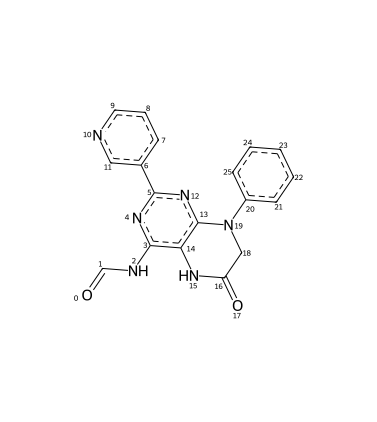 O=CNc1nc(-c2cccnc2)nc2c1NC(=O)CN2c1ccccc1